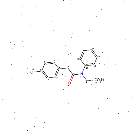 O=C(O)CN(C(=O)Cc1ccc(Cl)cc1)c1ccccc1